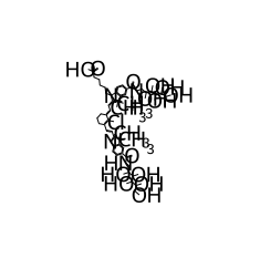 CC1(C)C(/C=C/C2=C(Cl)C(=C/C=C3/N(CCCCCC(=O)O)c4ccc(C(=O)NCC(O)C(O)C(O)C(O)CO)cc4C3(C)C)/CCC2)=Nc2ccc(C(=O)NCC(O)C(O)C(O)C(O)CO)cc21